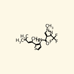 C/C(=C\C(C)C)c1sccc1NC(=O)c1cn(C)nc1C(F)(F)F